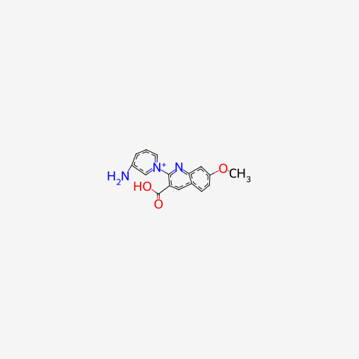 COc1ccc2cc(C(=O)O)c(-[n+]3cccc(N)c3)nc2c1